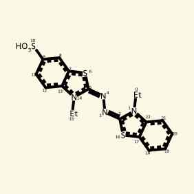 CCn1c(=NN=c2sc3cc(S(=O)(=O)O)ccc3n2CC)sc2ccccc21